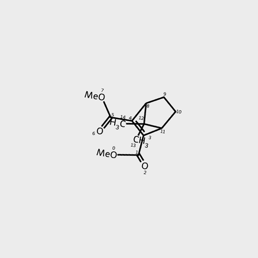 COC(=O)C1=C(C(=O)OC)C2CCC1C2(C)C